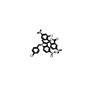 Cc1c(C2(c3ccc(N(C)C)cc3Cl)OC(=O)c3cc(N(C)C)ccc32)c2cc([N+](=O)[O-])ccc2n1Cc1ccc(Cl)cc1